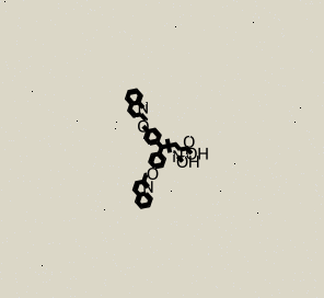 CC(C)(CC(=NO)C(=O)O)C(c1ccc(OCc2ccc3ccccc3n2)cc1)c1ccc(OCc2ccc3ccccc3n2)cc1